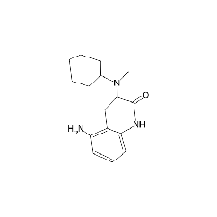 CN(C1CCCCC1)C1Cc2c(N)cccc2NC1=O